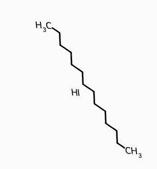 CCCCCCCCCCCCCC.I